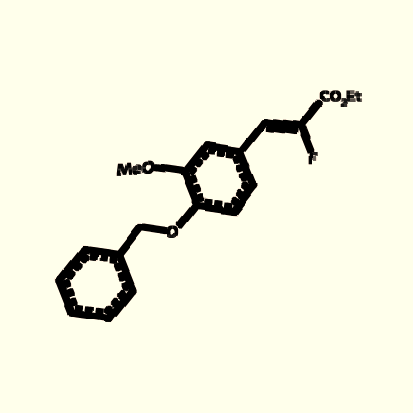 CCOC(=O)C(F)=Cc1ccc(OCc2ccccc2)c(OC)c1